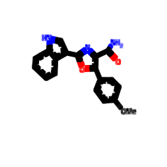 COc1ccc(-c2oc(-c3c[nH]c4ccccc34)nc2C(N)=O)cc1